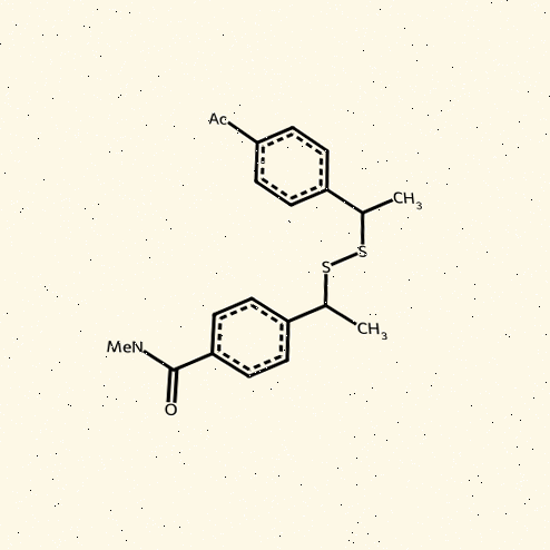 CNC(=O)c1ccc(C(C)SSC(C)c2ccc(C(C)=O)cc2)cc1